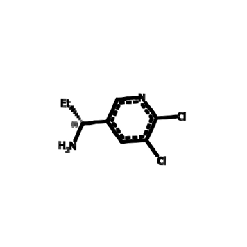 CC[C@@H](N)c1cnc(Cl)c(Cl)c1